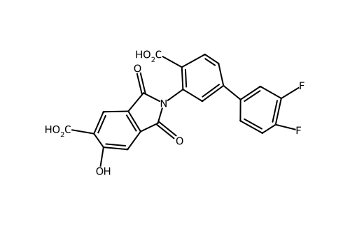 O=C(O)c1cc2c(cc1O)C(=O)N(c1cc(-c3ccc(F)c(F)c3)ccc1C(=O)O)C2=O